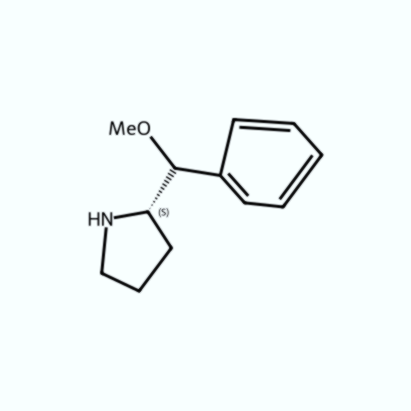 COC(c1ccccc1)[C@@H]1CCCN1